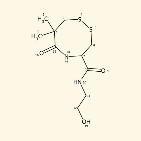 CC1(C)CSSCC(C(=O)NCCO)NC1=O